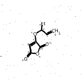 C=CC(CC)OC1=CC(=O)OC1=O